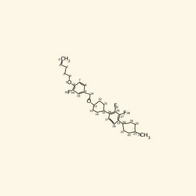 C=CCCCOc1ccc(COC2CCC(c3ccc(C4CCC(C)CC4)c(F)c3F)CC2)cc1F